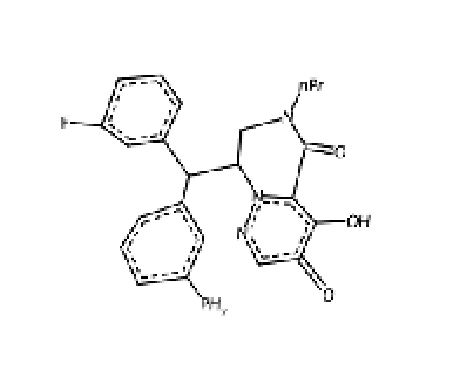 CCCN1CC(C(c2cccc(F)c2)c2cccc(P)c2)n2ncc(=O)c(O)c2C1=O